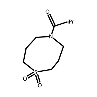 CC(C)C(=O)N1CCCS(=O)(=O)CCC1